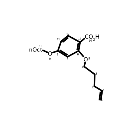 C=CCCCOc1cc(OCCCCCCCC)ccc1C(=O)O